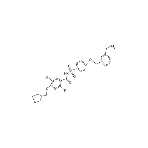 NCc1cccc(COc2ccc(S(=O)(=O)NC(=O)c3cc(Cl)c(OCC4CCCC4)cc3F)cc2)c1